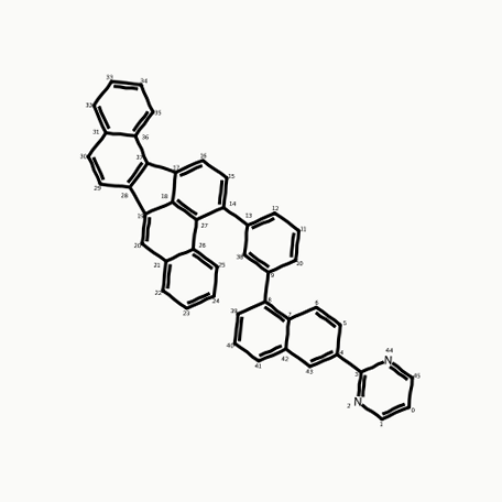 c1cnc(-c2ccc3c(-c4cccc(-c5ccc6c7c(cc8ccccc8c57)-c5ccc7ccccc7c5-6)c4)cccc3c2)nc1